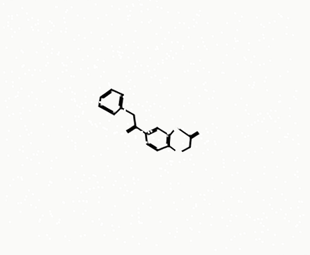 O=C1COc2ccc(C(=O)Cc3ccccc3)cc2N1